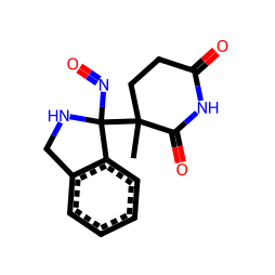 CC1(C2(N=O)NCc3ccccc32)CCC(=O)NC1=O